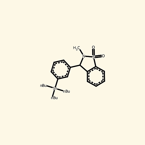 CCC[CH2][Sn]([CH2]CCC)([CH2]CCC)[c]1cccc(C2c3ccccc3S(=O)(=O)N2C)c1